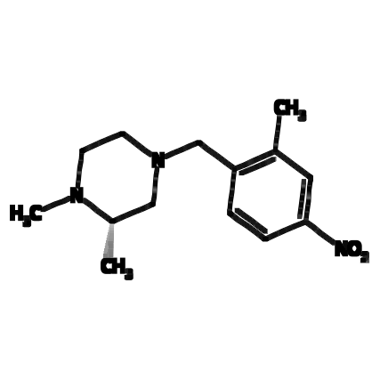 Cc1cc([N+](=O)[O-])ccc1CN1CCN(C)[C@@H](C)C1